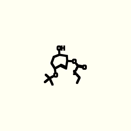 CCSC(=O)OC1/C=C/C(OC(C)(C)C)CCC(O)C1